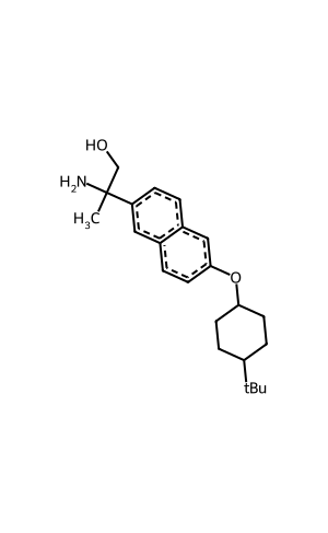 CC(N)(CO)c1ccc2cc(OC3CCC(C(C)(C)C)CC3)ccc2c1